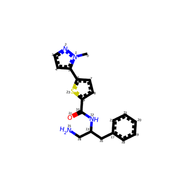 Cn1nccc1-c1ccc(C(=O)NC(CN)Cc2ccccc2)s1